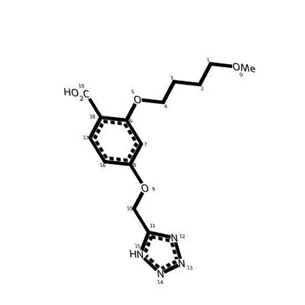 COCCCCOc1cc(OCc2nnn[nH]2)ccc1C(=O)O